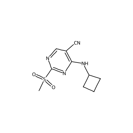 CS(=O)(=O)c1ncc(C#N)c(NC2CCC2)n1